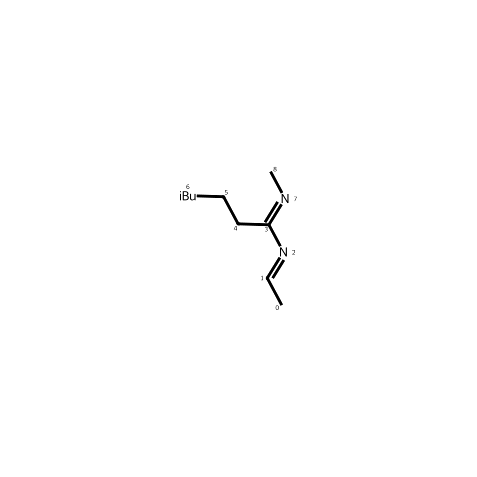 C/C=N/C(CCC(C)CC)=N/C